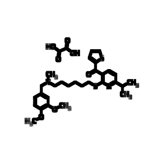 COc1ccc(CN(C)CCCCCCSc2nc(C(C)C)ccc2C(=O)c2cccs2)cc1OC.O=C(O)C(=O)O